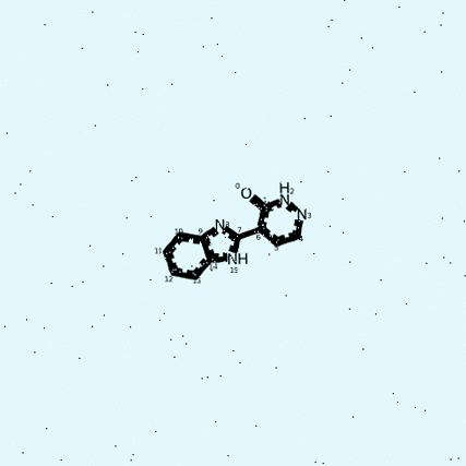 O=c1[nH]nccc1-c1nc2ccccc2[nH]1